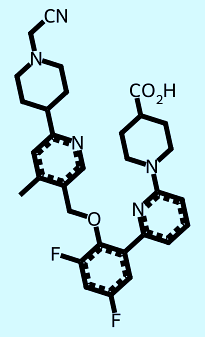 Cc1cc(C2CCN(CC#N)CC2)ncc1COc1c(F)cc(F)cc1-c1cccc(N2CCC(C(=O)O)CC2)n1